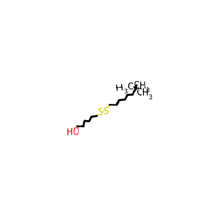 CC(C)(C)CCCCCCSSCCCCCCO